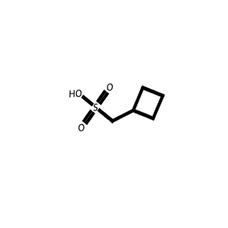 O=S(=O)(O)[CH]C1CCC1